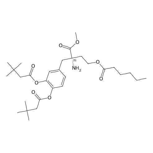 CCCCCC(=O)OCC[C@@](N)(Cc1ccc(OC(=O)CC(C)(C)C)c(OC(=O)CC(C)(C)C)c1)C(=O)OC